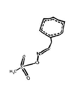 CS(=O)(=O)O/N=[C]/c1ccccc1